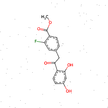 COC(=O)c1ccc(CC(=O)c2ccc(O)cc2O)cc1F